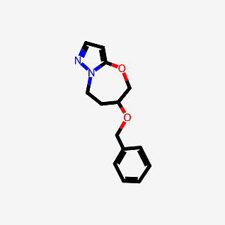 c1ccc(COC2CCn3nccc3OC2)cc1